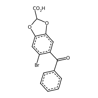 O=C(c1ccccc1)c1cc2c(cc1Br)OC(C(=O)O)O2